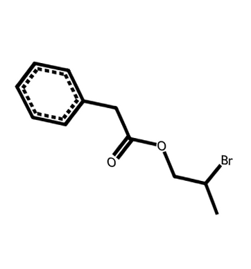 CC(Br)COC(=O)Cc1ccccc1